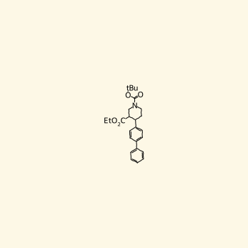 CCOC(=O)C1CN(C(=O)OC(C)(C)C)CCC1c1ccc(-c2ccccc2)cc1